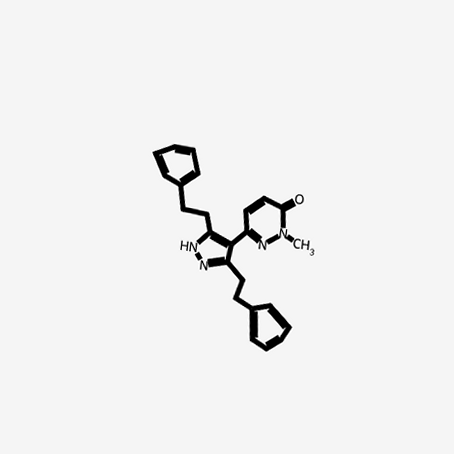 Cn1nc(-c2c(CCc3ccccc3)n[nH]c2CCc2ccccc2)ccc1=O